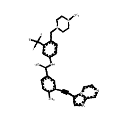 Cc1ccc(C(O)Nc2ccc(CN3CCN(C)CC3)c(C(F)(F)F)c2)cc1C#Cc1cnc2cnccn12